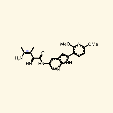 COc1ccc(-c2cc3cc(NC(=O)C(=N)/C(C)=C(/C)N)cnc3[nH]2)c(OC)n1